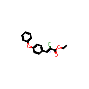 CCOC(=O)/C(F)=C/c1ccc(Oc2ccccc2)cc1